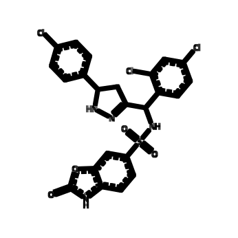 O=c1[nH]c2ccc(S(=O)(=O)NC(C3=NNC(c4ccc(Cl)cc4)C3)c3ccc(Cl)cc3Cl)cc2o1